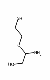 NC(CO)OCCS